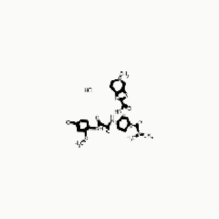 COc1cc(Cl)ccc1NC(=O)C(=O)N[C@H]1CC[C@H](C(=O)N(C)C)C[C@H]1NC(=O)c1nc2c(s1)CN(C)CC2.Cl